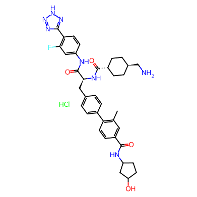 Cc1cc(C(=O)NC2CCC(O)C2)ccc1-c1ccc(C[C@H](NC(=O)[C@H]2CC[C@H](CN)CC2)C(=O)Nc2ccc(-c3nn[nH]n3)c(F)c2)cc1.Cl